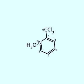 ClC(Cl)(Cl)c1ccccn1.O